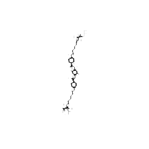 C=C(C(=O)OCCCCCCOc1ccc(C(=O)Oc2ccc(OC(=O)c3ccc(OCCCCCCOC(=O)C(=C)C(F)(F)F)cc3)c(C)c2)cc1)C(F)(F)F